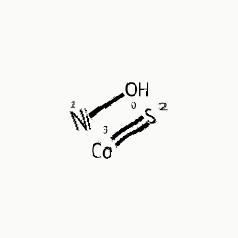 [OH][Ni].[S]=[Co]